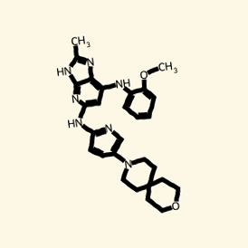 COc1ccccc1Nc1cc(Nc2ccc(N3CCC4(CCOCC4)CC3)cn2)nc2[nH]c(C)nc12